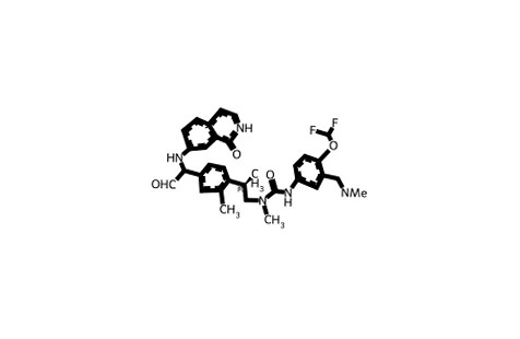 CNCc1cc(NC(=O)N(C)C[C@H](C)c2ccc(C(C=O)Nc3ccc4cc[nH]c(=O)c4c3)cc2C)ccc1OC(F)F